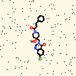 O=C(/C=C/c1ccccc1)N1CCC(O)(Cn2cnc3cc(Cl)ccc3c2=O)CC1